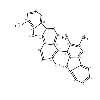 Cc1cc2c(oc3ccccc32)c(-c2c3ccc4c5cccc(C)c5oc4c3cc[n+]2C)c1C